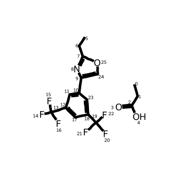 CCC(=O)O.CCc1nc(-c2cc(C(F)(F)F)cc(C(F)(F)F)c2)co1